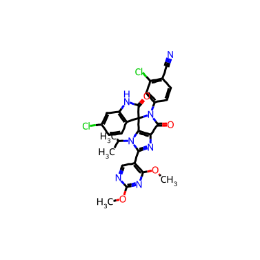 COc1ncc(-c2nc3c(n2C(C)C)C2(C(=O)Nc4cc(Cl)ccc42)N(c2ccc(C#N)c(Cl)c2)C3=O)c(OC)n1